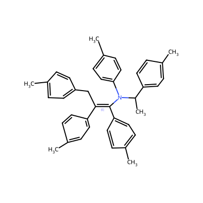 Cc1ccc(C/C(=C(/c2ccc(C)cc2)N(c2ccc(C)cc2)C(C)c2ccc(C)cc2)c2ccc(C)cc2)cc1